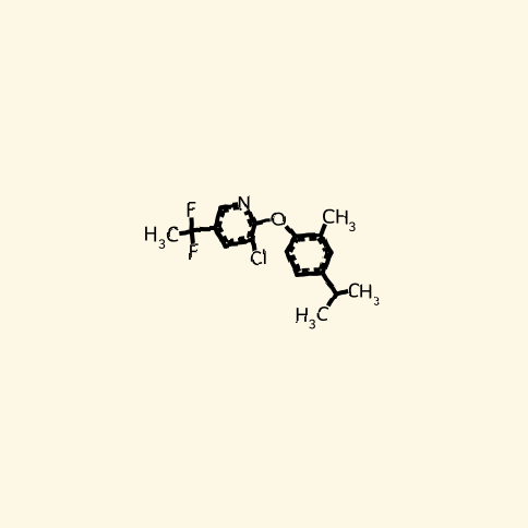 Cc1cc(C(C)C)ccc1Oc1ncc(C(C)(F)F)cc1Cl